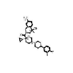 Cc1cc(C2CCN([C@@H]3CC[C@@](C(=O)N4Cc5cc(C(F)(F)F)ccc5[C@](C)(O)C4)(C4CC4)OC3)CC2)ccc1F